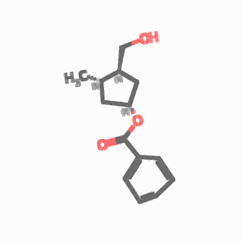 C[C@H]1C[C@@H](OC(=O)c2ccccc2)C[C@@H]1CO